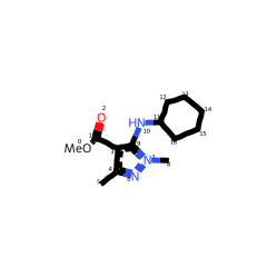 COC(=O)c1c(C)nn(C)c1NC1CCCCC1